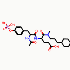 CC(=O)NC(Cc1ccc(OP(=O)(O)O)cc1)C(=O)NC(CCC(=O)O)C(=O)N(C)CCCC1CCCCC1